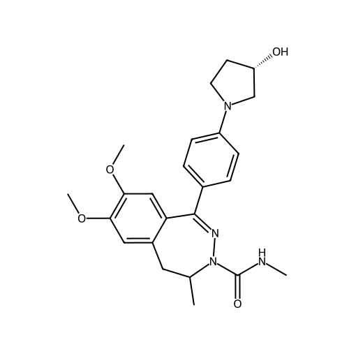 CNC(=O)N1N=C(c2ccc(N3CC[C@H](O)C3)cc2)c2cc(OC)c(OC)cc2CC1C